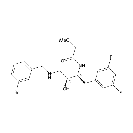 COCC(=O)N[C@@H](Cc1cc(F)cc(F)c1)[C@@H](O)CNCc1cccc(Br)c1